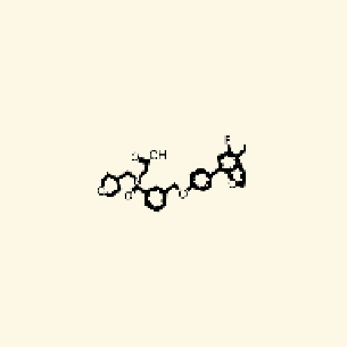 O=C(O)CN(CC1CCOCC1)C(=O)c1cccc(COc2ccc(-c3cc(F)c(F)c4ccoc34)cc2)c1